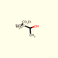 CCOC(=O)C(C)O.CCOC(C)=O